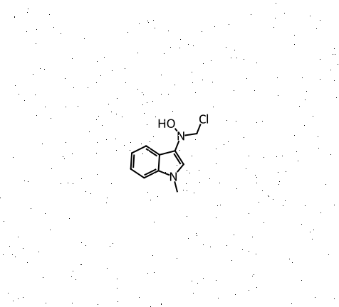 Cn1cc(N(O)CCl)c2ccccc21